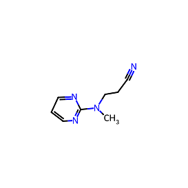 CN(CCC#N)c1ncccn1